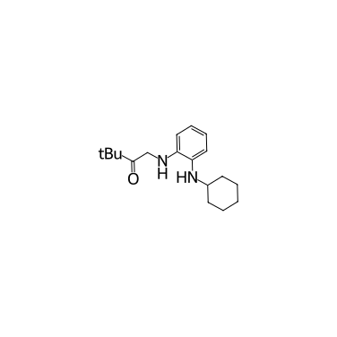 CC(C)(C)C(=O)CNc1ccccc1NC1CCCCC1